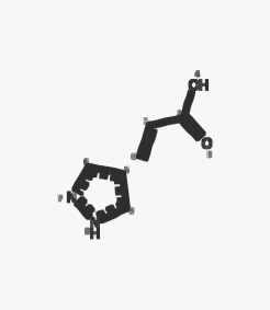 C=CC(=O)O.c1cn[nH]c1